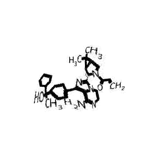 C=CC(=O)N1CC2C([C@H]1c1nc(-c3ccc(C(C)(O)c4ccccc4)cc3)c3c(N)nccn13)C2(C)C